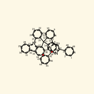 c1ccc(-c2cc(-c3ccccc3C3(c4ccccc4)c4ccccc4-n4c5ccccc5c5cccc3c54)nc(-c3ccccc3)n2)cc1